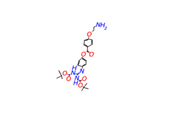 CC(C)(C)OC(=O)NC(=Nc1ccc(OC(=O)c2ccc(OCCN)cc2)cc1)NC(=O)OC(C)(C)C